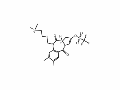 Cc1cc2c(cc1C)N(COCC[Si](C)(C)C)C(=O)[C@@H]1CC(OS(=O)(=O)C(F)(F)F)=CN1C2=O